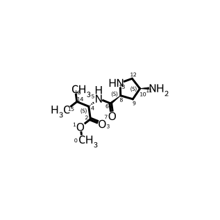 COC(=O)[C@@H](NC(=O)[C@@H]1C[C@H](N)CN1)C(C)C